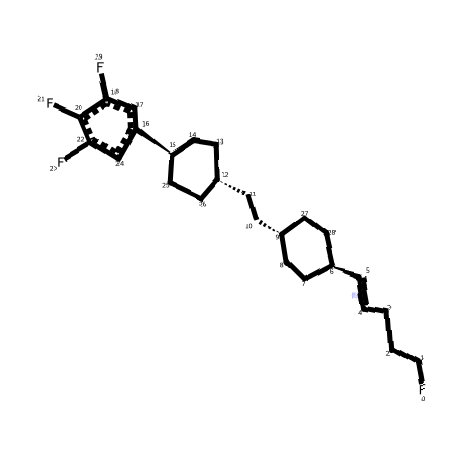 FCCC/C=C/[C@H]1CC[C@H](CC[C@H]2CC[C@H](c3cc(F)c(F)c(F)c3)CC2)CC1